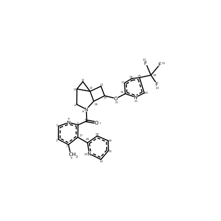 Cc1ccnc(C(=O)N2CC3CC34CC(Oc3ccc(C(F)(F)F)cn3)C24)c1-c1ccccn1